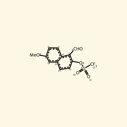 COc1ccc2c(C=O)c(OS(=O)(=O)C(F)(F)F)ccc2c1